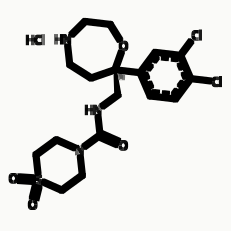 Cl.O=C(NC[C@@]1(c2ccc(Cl)c(Cl)c2)CCNCCO1)N1CCS(=O)(=O)CC1